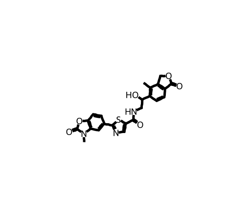 Cc1c(C(O)CNC(=O)c2cnc(-c3ccc4oc(=O)n(C)c4c3)s2)ccc2c1COC2=O